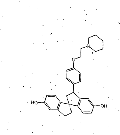 Oc1ccc2c(c1)CC[C@@]21C[C@@H](c2ccc(OCCN3CCCCC3)cc2)c2cc(O)ccc21